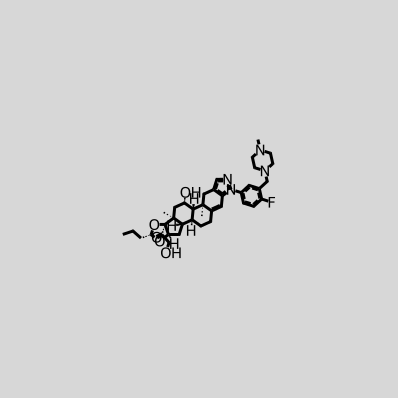 CCC[C@H]1O[C@@H]2C[C@H]3[C@@H]4CCC5=Cc6c(cnn6-c6ccc(F)c(CN7CCN(C)CC7)c6)C[C@]5(C)[C@H]4[C@@H](O)C[C@]3(C)[C@]2(C(=O)CO)O1